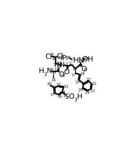 CC(C)C[C@@H](C(=O)NN(CC(Cl)Cl)C(=O)[C@@H](C)N)[C@H](CC=Cc1ccccc1)C(=O)NO.Cc1ccc(S(=O)(=O)O)cc1